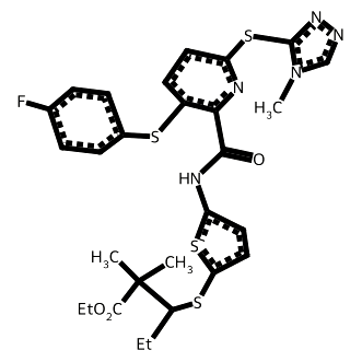 CCOC(=O)C(C)(C)C(CC)Sc1ccc(NC(=O)c2nc(Sc3nncn3C)ccc2Sc2ccc(F)cc2)s1